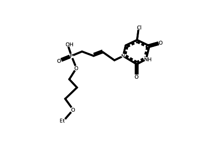 CCOCCCOP(=O)(O)C/C=C/Cn1cc(Cl)c(=O)[nH]c1=O